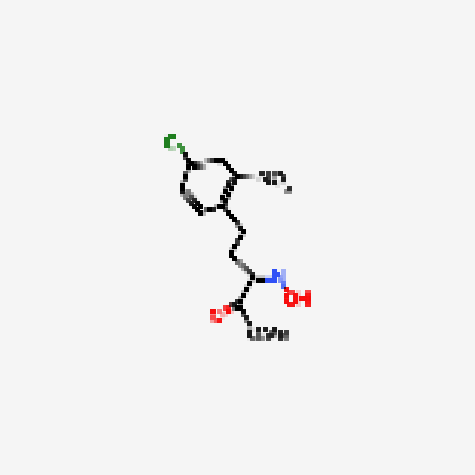 COC(=O)C(CCc1ccc(Cl)cc1[N+](=O)[O-])=NO